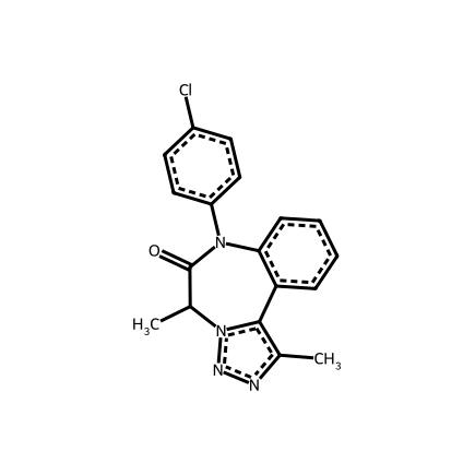 Cc1nnn2c1-c1ccccc1N(c1ccc(Cl)cc1)C(=O)C2C